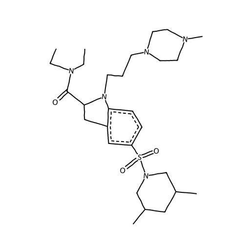 CCN(CC)C(=O)C1Cc2cc(S(=O)(=O)N3CC(C)CC(C)C3)ccc2N1CCCN1CCN(C)CC1